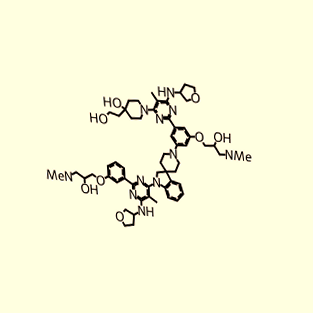 CNCC(O)COc1cccc(-c2nc(NC3CCOC3)c(C)c(N3CC4(CCN(c5cc(OCC(O)CNC)cc(-c6nc(NC7CCOC7)c(C)c(N7CCC(O)(CCO)CC7)n6)c5)CC4)c4ccccc43)n2)c1